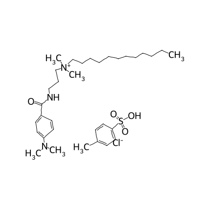 CCCCCCCCCCCC[N+](C)(C)CCCNC(=O)c1ccc(N(C)C)cc1.Cc1ccc(S(=O)(=O)O)cc1.[Cl-]